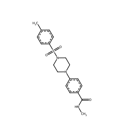 CNC(=O)c1ccc(N2CCN(S(=O)(=O)c3ccc(C)cc3)CC2)cc1